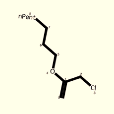 C=C(CCl)OCCCCCCCC